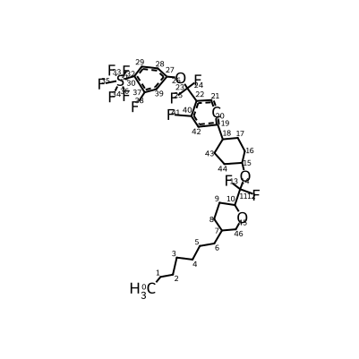 CCCCCCCC1CCC(C(F)(F)OC2CCC(c3ccc(C(F)(F)Oc4ccc(S(F)(F)(F)(F)F)c(F)c4)c(F)c3)CC2)OC1